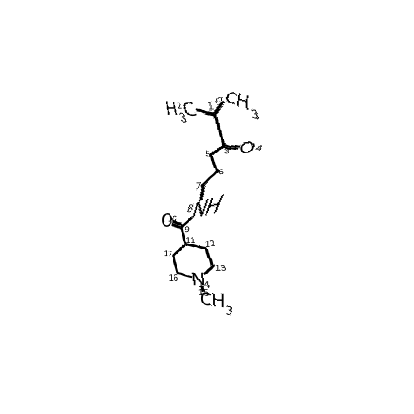 CC(C)C(=O)CCCNC(=O)C1CCN(C)CC1